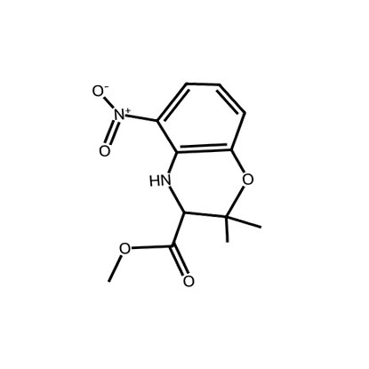 COC(=O)C1Nc2c(cccc2[N+](=O)[O-])OC1(C)C